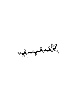 C=C(C)C(=O)OCCOC(=O)CCC(=O)OCCC(=O)OC(C)(C)CCl